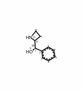 O[C@H](c1ccccc1)C1CCN1